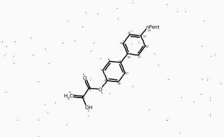 C=C(O)C(=O)Oc1ccc(-c2ccc(CCCCC)cc2)cc1